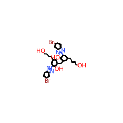 OCCCCc1cc(Cc2cc(CCCCO)cc(-n3nc4ccc(Br)cc4n3)c2O)c(O)c(-n2nc3ccc(Br)cc3n2)c1